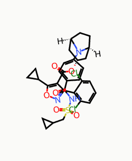 O=C(NS(=O)(=O)CC1CC1)c1ccc(N2[C@@H]3CC[C@H]2C[C@H](OC(=O)c2c(-c4c(Cl)cccc4Cl)noc2C2CC2)C3)cc1